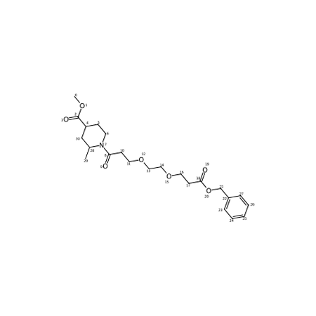 COC(=O)C1CCN(C(=O)CCOCCOCCC(=O)OCc2ccccc2)C(C)C1